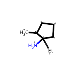 CCC1(N)CCCC1C